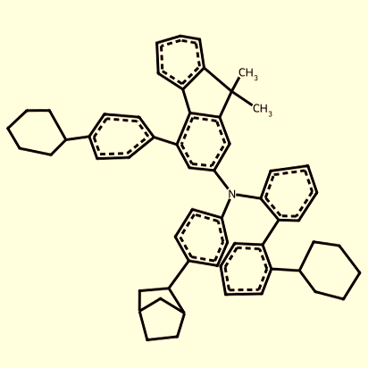 CC1(C)c2ccccc2-c2c(-c3ccc(C4CCCCC4)cc3)cc(N(c3ccc(C4CC5CCC4C5)cc3)c3ccccc3-c3ccccc3C3CCCCC3)cc21